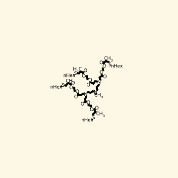 CCCCCCSCC(C)C(=O)OCCOC(=O)CCN(CCCN(C)CCCN(CCC(=O)OCCOC(=O)C(C)CSCCCCCC)CCC(=O)OCCOC(=O)C(C)CSCCCCCC)CCC(=O)OCCOC(=O)C(C)CSCCCCCC